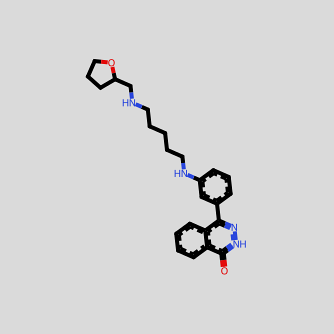 O=c1[nH]nc(-c2cccc(NCCCCCNCC3CCCO3)c2)c2ccccc12